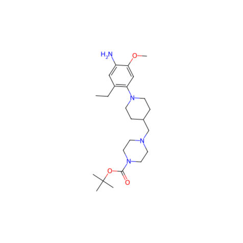 CCc1cc(N)c(OC)cc1N1CCC(CN2CCN(C(=O)OC(C)(C)C)CC2)CC1